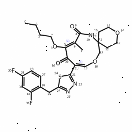 CCCCO/C1=C(/C)C(=O)NC2(CCOCC2)CO/C=C(/c2nnc(Cc3ccc(F)cc3F)s2)C1=O